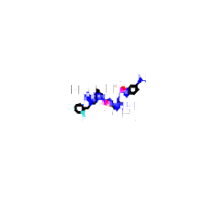 C[C@@H]1CN(CC(=O)N2CC(C)(C)c3nnc(Cc4ccc(F)cc4F)cc32)[C@@H](CN2Cc3ccc(C#N)cc3C2=O)CN1